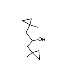 CC1(CC(O)CC2(C)CC2)CC1